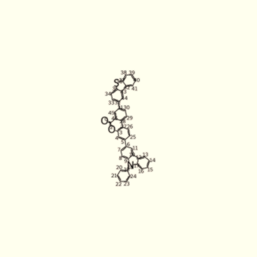 O=c1oc2cc(-c3ccc4c(c3)c3ccccc3n4-c3ccccc3)ccc2c2ccc(-c3ccc4sc5ccccc5c4c3)cc12